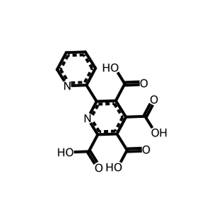 O=C(O)c1nc(-c2ccccn2)c(C(=O)O)c(C(=O)O)c1C(=O)O